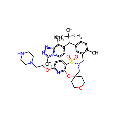 Cc1ccc([C@H](c2ccn3c(C(F)(F)F)nnc3c2C)C(C)(C)C(=O)O)cc1CN1CC2(CCOCC2)Oc2nc(OCCN3CCNCC3)ccc2S1(=O)=O